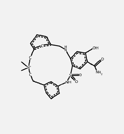 C[N+]1(C)CCc2cccc(c2)NS(=O)(=O)c2cc(C(N)=O)c(O)cc2NCc2cccc(c2)C1